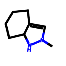 CN1C=C2CCCCC2N1